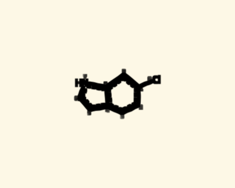 Clc1ccc2c[c][nH]c2c1